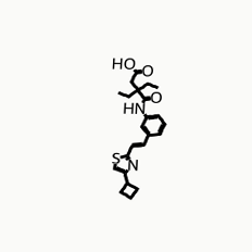 CCC(CC)(CC(=O)O)C(=O)Nc1cccc(/C=C/c2nc(C3CCC3)cs2)c1